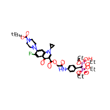 CCOP(=O)(OCC)C(c1ccc(NC(=O)COC(=O)c2cn(C3CC3)c3cc(N4CCN(C(=O)OC(C)(C)C)CC4)c(F)cc3c2=O)cc1)=P(O)(OCC)OCC